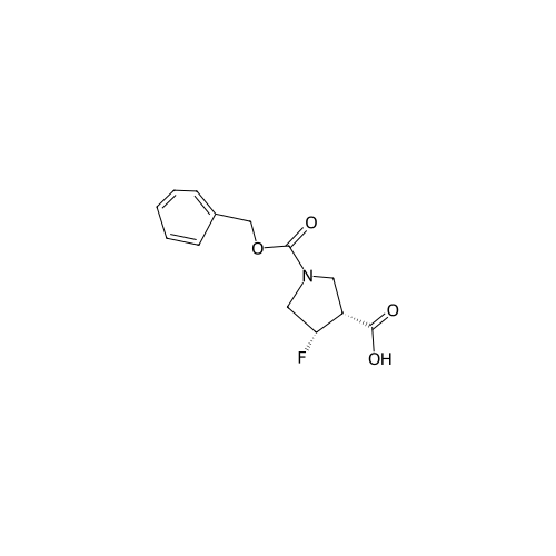 O=C(O)[C@H]1CN(C(=O)OCc2ccccc2)C[C@H]1F